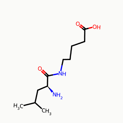 CC(C)C[C@H](N)C(=O)NCCCCC(=O)O